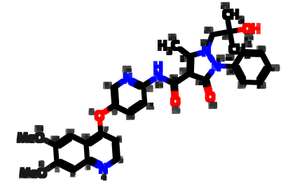 COc1cc2nccc(Oc3ccc(NC(=O)c4c(C)n(CC(C)(C)O)n(-c5ccccc5)c4=O)nc3)c2cc1OC